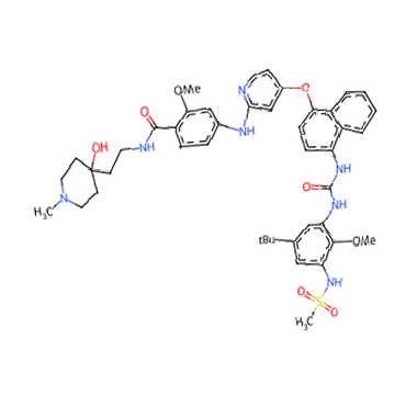 COc1cc(Nc2cc(Oc3ccc(NC(=O)Nc4cc(C(C)(C)C)cc(NS(C)(=O)=O)c4OC)c4ccccc34)ccn2)ccc1C(=O)NCCC1(O)CCN(C)CC1